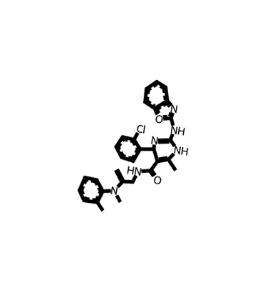 C=C(CNC(=O)C1=C(C)NC(Nc2nc3ccccc3o2)=NC1c1ccccc1Cl)N(C)c1ccccc1C